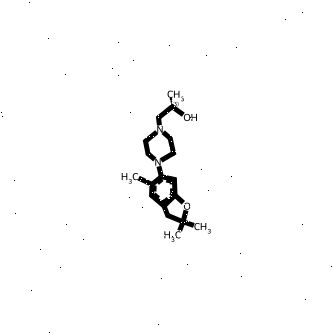 Cc1cc2c(cc1N1CCN(C[C@H](C)O)CC1)OC(C)(C)C2